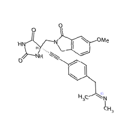 C/N=C(\C)Cc1ccc(C#C[C@]2(CN3Cc4ccc(OC)cc4C3=O)NC(=O)NC2=O)cc1